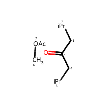 CC(C)CC(=O)CC(C)C.COC(C)=O